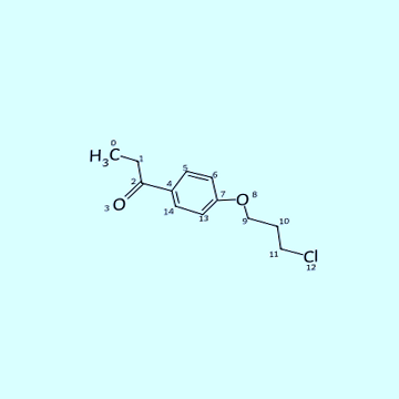 CCC(=O)c1ccc(OCCCCl)cc1